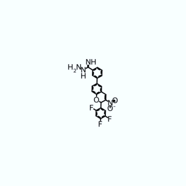 N=C(NN)c1cccc(-c2ccc3c(c2)C=C([N+](=O)[O-])C(c2cc(F)c(F)cc2F)O3)c1